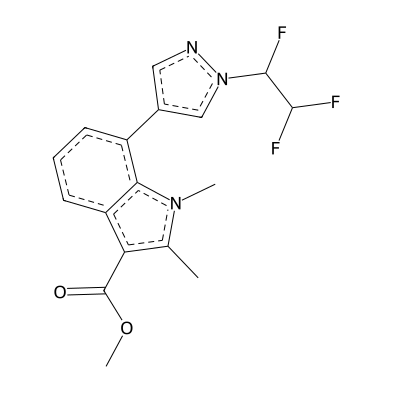 COC(=O)c1c(C)n(C)c2c(-c3cnn(C(F)C(F)F)c3)cccc12